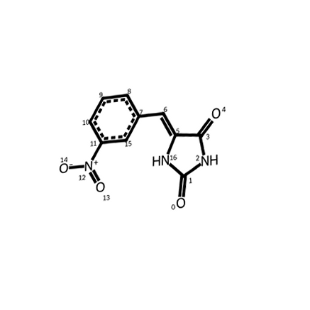 O=C1NC(=O)C(=Cc2cccc([N+](=O)[O-])c2)N1